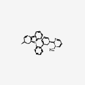 CC1C=Cc2c(n(-c3ccccc3C3=CC=CC(C4N=CC=CC4C#N)C3)c3ccccc23)C1